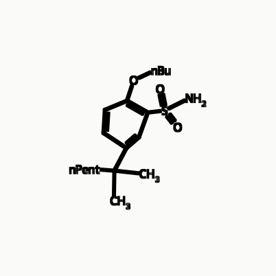 CCCCCC(C)(C)c1ccc(OCCCC)c(S(N)(=O)=O)c1